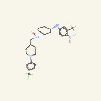 O=C(NCC1CCN(c2ccc(C(F)(F)F)cc2)CC1)[C@H]1CC[C@H](Nc2ccc([N+](=O)[O-])c(C(F)(F)F)c2)CC1